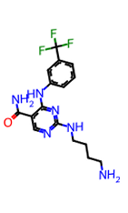 NCCCCNc1ncc(C(N)=O)c(Nc2cccc(C(F)(F)F)c2)n1